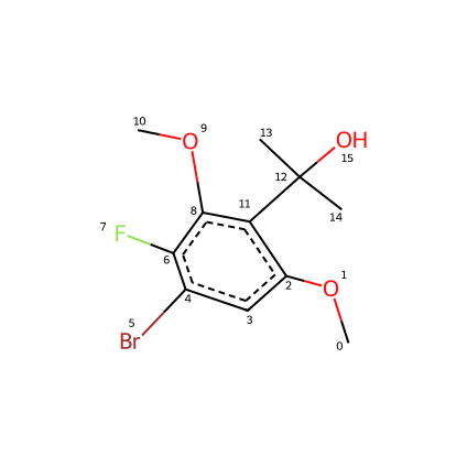 COc1cc(Br)c(F)c(OC)c1C(C)(C)O